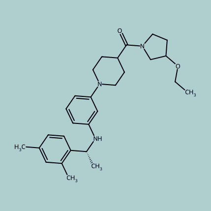 CCOC1CCN(C(=O)C2CCN(c3cccc(N[C@H](C)c4ccc(C)cc4C)c3)CC2)C1